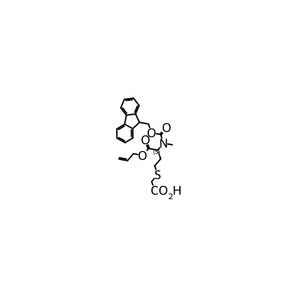 C=CCOC(=O)[C@H](CCSCC(=O)O)N(C)C(=O)OCC1c2ccccc2-c2ccccc21